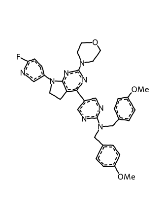 COc1ccc(CN(Cc2ccc(OC)cc2)c2ncc(-c3nc(N4CCOCC4)nc4c3CCN4c3ccc(F)nc3)cn2)cc1